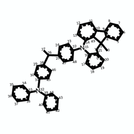 CCC1(C)c2ccccc2-c2cccc(N(c3ccccc3)c3ccc(C(C)c4ccc(N(c5ccccc5)c5ccccc5)cc4)cc3)c21